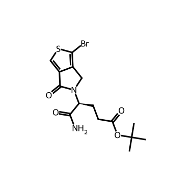 CC(C)(C)OC(=O)CC[C@@H](C(N)=O)N1Cc2c(csc2Br)C1=O